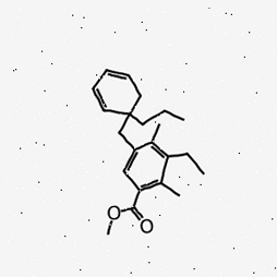 CCCC1(Cc2cc(C(=O)OC)c(C)c(CC)c2C)C=CC=CC1